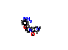 CN1CCC(C(=O)N2CCC(Oc3ccc(N)cc3)CC2)CC1